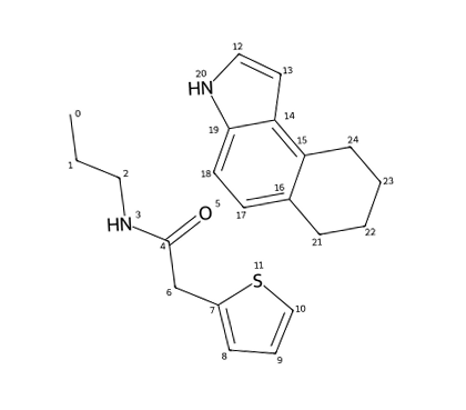 CCCNC(=O)Cc1cccs1.c1cc2c3c(ccc2[nH]1)CCCC3